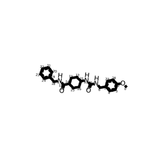 COc1ccc(CNC(=O)NC2CCC(C(=O)NCc3ccccc3)CC2)cc1